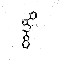 C[C@@H](NC(=O)c1cc2ccccn2n1)c1ncnn1-c1ncccn1